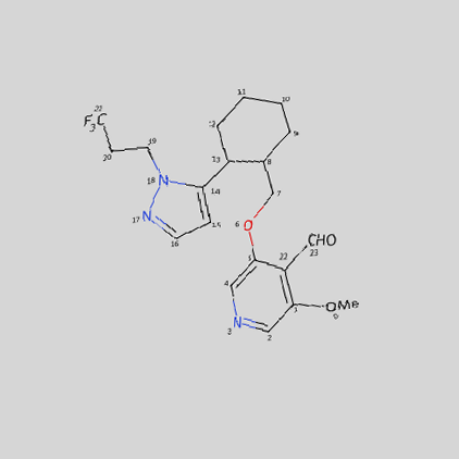 COc1cncc(OCC2CCCCC2c2ccnn2CCC(F)(F)F)c1C=O